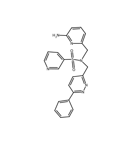 Nc1cccc(CN(Cc2ccc(-c3ccccc3)nn2)S(=O)(=O)c2cccnc2)n1